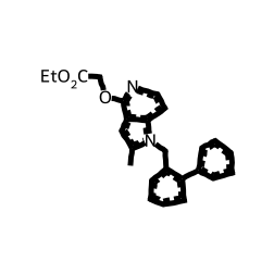 CCOC(=O)COc1nccc2c1cc(C)n2Cc1ccccc1-c1ccccc1